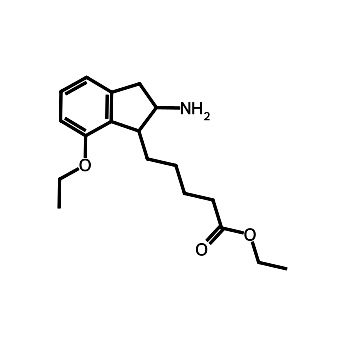 CCOC(=O)CCCCC1c2c(cccc2OCC)CC1N